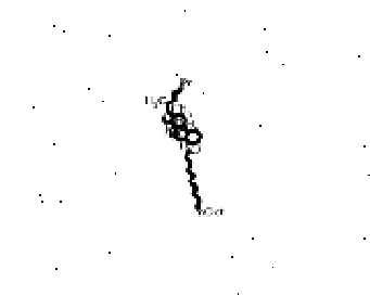 CCCCCCCCC=CCCCCCCCC(=O)OC12CCCC[C@]1(C)[C@H]1CC[C@]3(C)[C@@H]([C@H](C)CCCC(C)C)CC[C@H]3[C@@H]1CC2